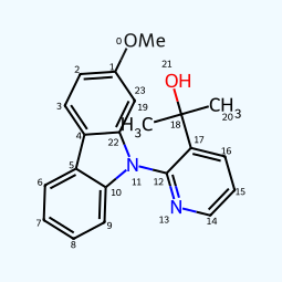 COc1ccc2c3ccccc3n(-c3ncccc3C(C)(C)O)c2c1